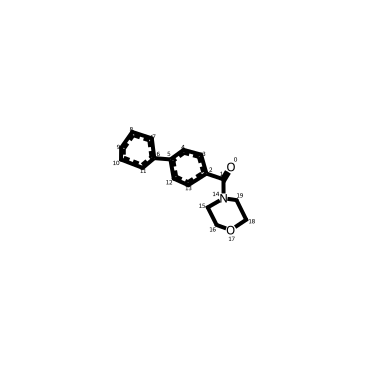 O=C(c1ccc(-c2[c]cccc2)cc1)N1CCOCC1